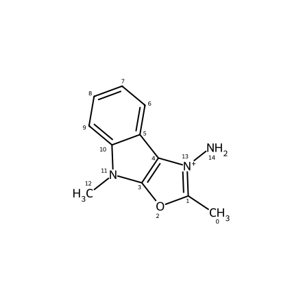 Cc1oc2c(c3ccccc3n2C)[n+]1N